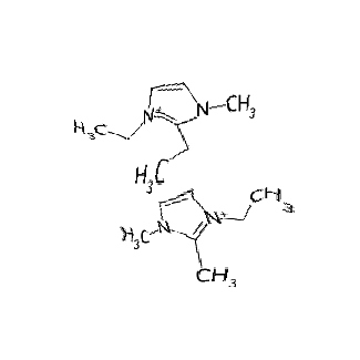 CC[n+]1ccn(C)c1C.CCc1n(C)cc[n+]1CC